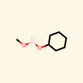 COBOC1CCCCC1